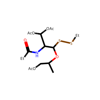 CCSSC(OC(C)COC(C)=O)C(NC(=O)CC)C(OC(C)=O)OC(C)=O